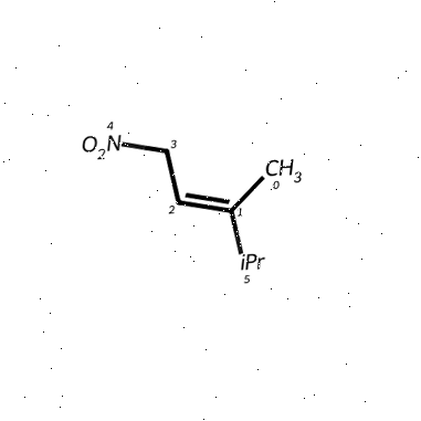 CC(=CC[N+](=O)[O-])C(C)C